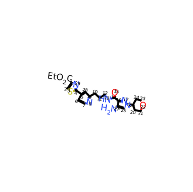 CCOC(=O)c1csc(-c2ccnc(CCCNC(=O)c3nn(C4CCOCC4)cc3N)c2)n1